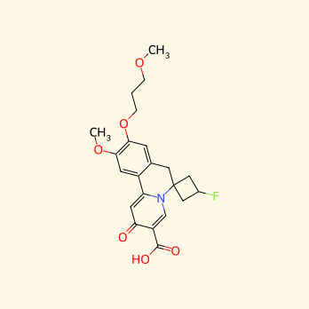 COCCCOc1cc2c(cc1OC)-c1cc(=O)c(C(=O)O)cn1C1(C2)CC(F)C1